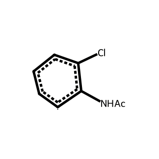 CC(=O)Nc1[c]cccc1Cl